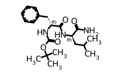 CC(C)C[C@@H](NC(=O)[C@@H](Cc1ccccc1)NC(=O)OC(C)(C)C)C(N)=O